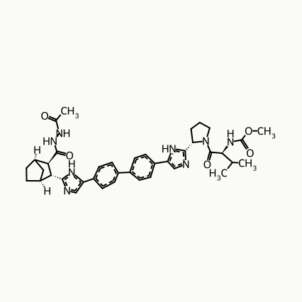 COC(=O)N[C@H](C(=O)N1CCC[C@H]1c1ncc(-c2ccc(-c3ccc(-c4cnc([C@@H]5[C@H]6CC[C@H](C6)[C@H]5C(=O)NNC(C)=O)[nH]4)cc3)cc2)[nH]1)C(C)C